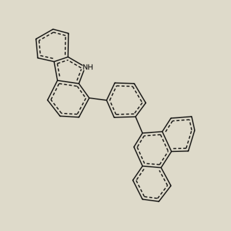 c1cc(-c2cc3ccccc3c3ccccc23)cc(-c2cccc3c2[nH]c2ccccc23)c1